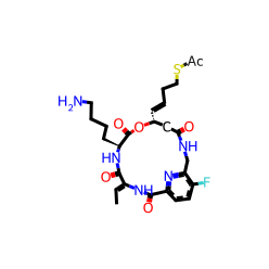 C/C=C1\NC(=O)c2ccc(F)c(n2)CNC(=O)C[C@@H](/C=C/CCSC(C)=O)OC(=O)[C@H](CCCCN)NC1=O